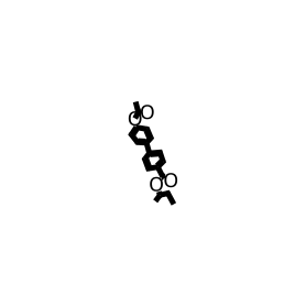 CCC(C)OC(=O)c1ccc(-c2ccc(OC(C)=O)cc2)cc1